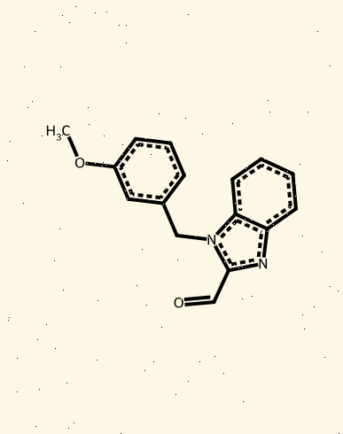 COc1cccc(Cn2c(C=O)nc3ccccc32)c1